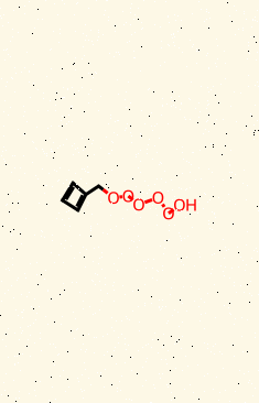 OOOOOOCC1=CC=C1